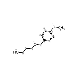 COc1ncc(COCCCO)cn1